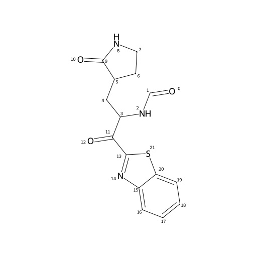 O=CNC(CC1CCNC1=O)C(=O)c1nc2ccccc2s1